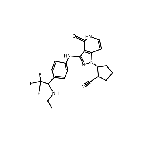 CCNC(c1ccc(Nc2nn([C@H]3CCCC3C#N)c3cc[nH]c(=O)c23)cc1)C(F)(F)F